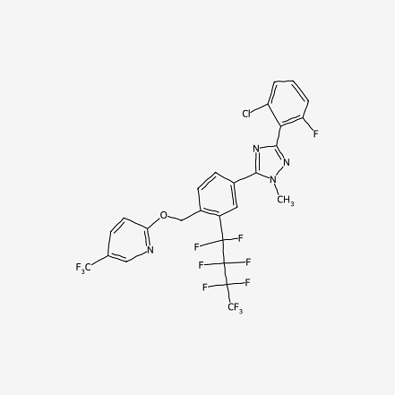 Cn1nc(-c2c(F)cccc2Cl)nc1-c1ccc(COc2ccc(C(F)(F)F)cn2)c(C(F)(F)C(F)(F)C(F)(F)C(F)(F)F)c1